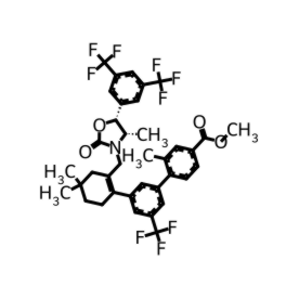 COC(=O)c1ccc(-c2cc(C3=C(CN4C(=O)O[C@H](c5cc(C(F)(F)F)cc(C(F)(F)F)c5)[C@@H]4C)CC(C)(C)CC3)cc(C(F)(F)F)c2)c(C)c1